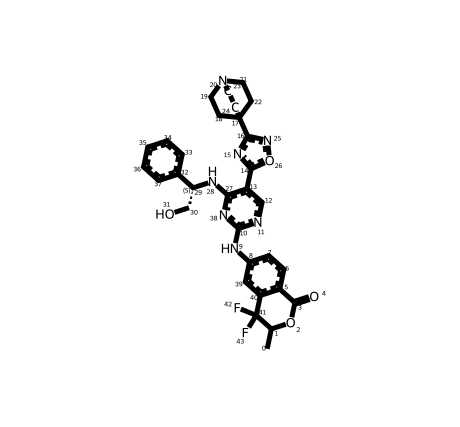 CC1OC(=O)c2ccc(Nc3ncc(-c4nc(C56CCN(CC5)CC6)no4)c(N[C@H](CO)c4ccccc4)n3)cc2C1(F)F